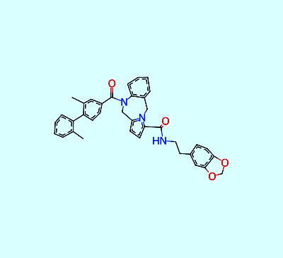 Cc1ccccc1-c1ccc(C(=O)N2Cc3ccc(C(=O)NCCc4ccc5c(c4)OCO5)n3Cc3ccccc32)cc1C